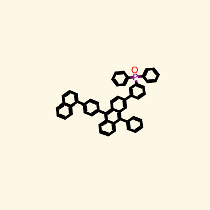 O=P(c1ccccc1)(c1ccccc1)c1cccc(-c2ccc3c(-c4ccc(-c5cccc6ccccc56)cc4)c4ccccc4c(-c4ccccc4)c3c2)c1